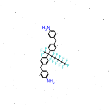 Nc1ccc(Cc2ccc(C(c3ccc(Cc4ccc(N)cc4)cc3)(C(F)(F)F)C(F)(F)C(F)(F)C(F)(F)C(F)(F)C(F)(F)F)cc2)cc1